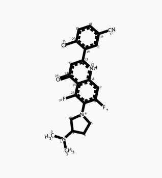 CN(C)C1CCN(c2c(F)cc3[nH]c(-c4cc(C#N)ccc4Cl)cc(=O)c3c2F)C1